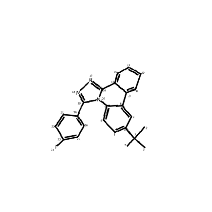 CC(C)(C)c1ccc2c(c1)c1ccccc1c1nnc(-c3ccc(I)cc3)n21